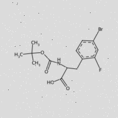 CC(C)(C)OC(=O)NC(Cc1ccc(Br)cc1F)C(=O)O